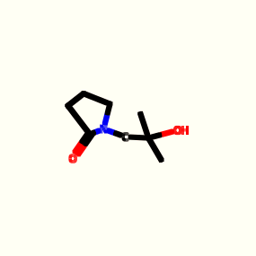 CC(C)(O)CN1CCCC1=O